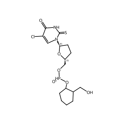 O=c1[nH]c(=S)n([C@H]2CC[C@@H](CO[PH](=O)OC3CCCCC3CO)O2)cc1Cl